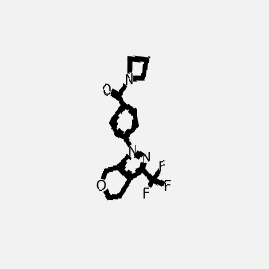 O=C(c1ccc(-n2nc(C(F)(F)F)c3c2COCC3)cc1)N1CCC1